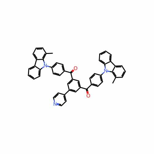 Cc1cccc2c3ccccc3n(-c3ccc(C(=O)c4cc(C(=O)c5ccc(-n6c7ccccc7c7cccc(C)c76)cc5)cc(-c5ccncc5)c4)cc3)c12